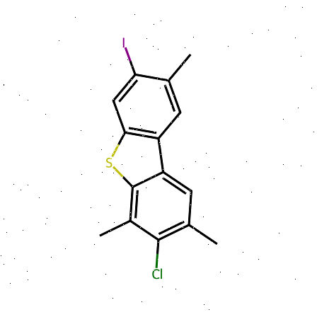 Cc1cc2c(cc1I)sc1c(C)c(Cl)c(C)cc12